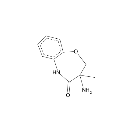 CC1(N)COc2ccccc2NC1=O